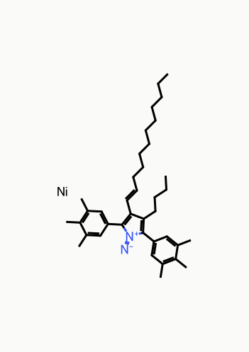 CCCCCCCCCCC=CC1=C(c2cc(C)c(C)c(C)c2)[N+](=[N-])C(c2cc(C)c(C)c(C)c2)=C1CCCC.[Ni]